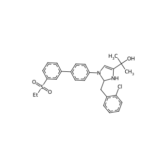 CCS(=O)(=O)c1cccc(-c2ccc(N3C=C(C(C)(C)O)NC3Cc3ccccc3Cl)cc2)c1